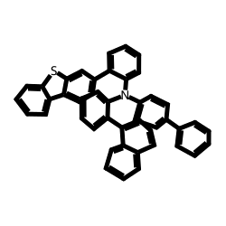 c1ccc(-c2ccc(N(c3ccccc3-c3ccc4c(c3)sc3ccccc34)c3ccccc3-c3cccc4ccccc34)cc2)cc1